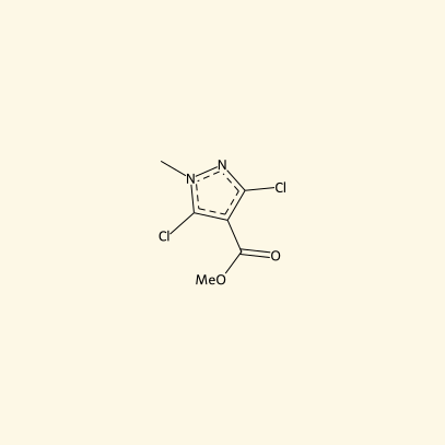 COC(=O)c1c(Cl)nn(C)c1Cl